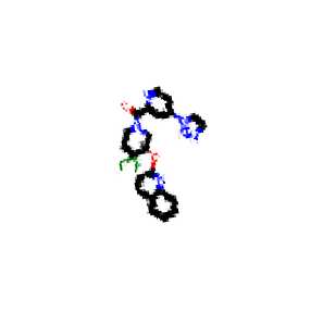 O=C(c1cc(-n2ccnn2)ccn1)N1CCC(F)(F)[C@@H](Oc2ccc3ccccc3n2)C1